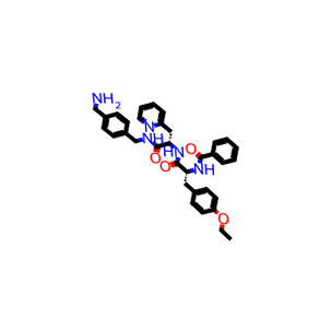 CCOc1ccc(C[C@@H](NC(=O)c2ccccc2)C(=O)N[C@@H](Cc2ccccn2)C(=O)NCc2ccc(CN)cc2)cc1